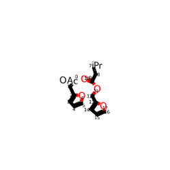 CC(=O)OCc1ccco1.CC(C)CC(=O)OCc1ccco1